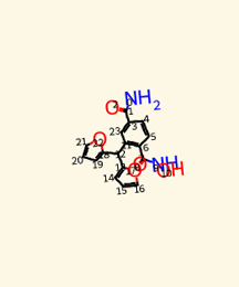 NC(=O)c1ccc(C(=O)NO)c(C(c2ccco2)c2ccco2)c1